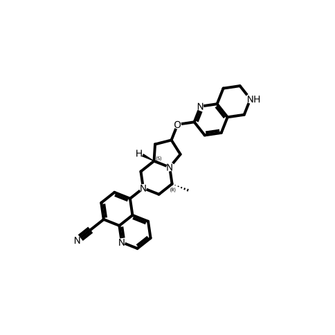 C[C@@H]1CN(c2ccc(C#N)c3ncccc23)C[C@@H]2CC(Oc3ccc4c(n3)CCNC4)CN21